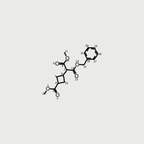 COC(=O)C1CC(C(C(=O)OC)C(=O)OCc2ccccc2)C1